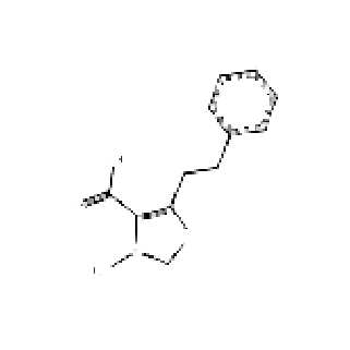 CN1COC(CCc2ccccc2)=C1C(=O)O